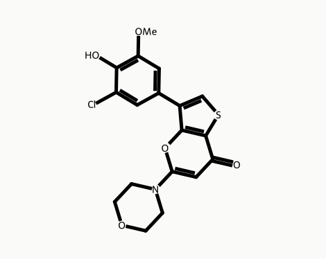 COc1cc(-c2csc3c(=O)cc(N4CCOCC4)oc23)cc(Cl)c1O